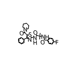 CC(C)(NC(=O)c1ccc(F)cc1)C(=O)Nc1nc(-c2ccccc2)c(C(=O)N2CCCCC2)s1